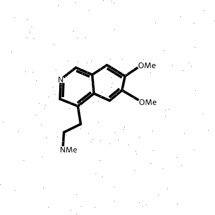 CNCCc1cncc2cc(OC)c(OC)cc12